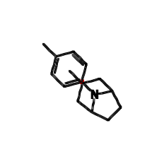 Cc1ccc(N2C3CCC2CC(C)C3)cc1